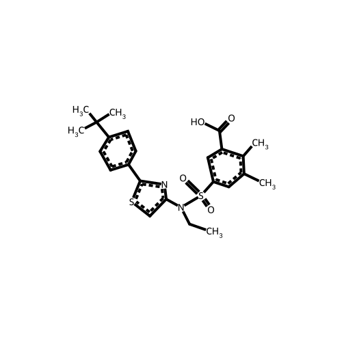 CCN(c1csc(-c2ccc(C(C)(C)C)cc2)n1)S(=O)(=O)c1cc(C)c(C)c(C(=O)O)c1